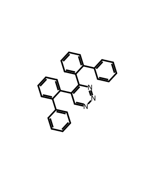 c1ccc(-c2ccccc2-c2cnnnc2-c2ccccc2-c2ccccc2)cc1